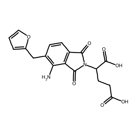 Nc1c(Cc2ccco2)ccc2c1C(=O)N(C(CCC(=O)O)C(=O)O)C2=O